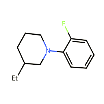 CCC1CCCN(c2ccccc2F)C1